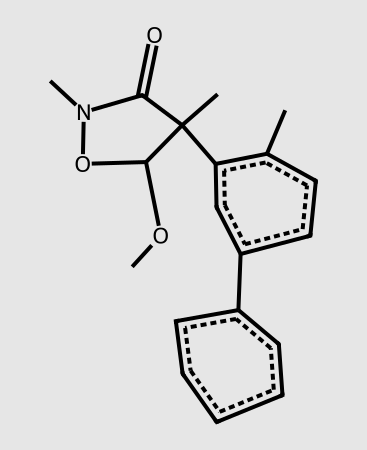 COC1ON(C)C(=O)C1(C)c1cc(-c2ccccc2)ccc1C